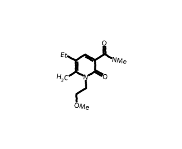 CCc1cc(C(=O)NC)c(=O)n(CCOC)c1C